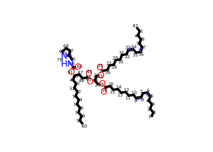 CCCCC/C=C\C/C=C\CCCCCCCC(=O)OCC(COC(=O)CCCCCCC/C=C\C/C=C\CCCCC)OC(=O)CCC(CCCCCCCCCCCC)OC(=O)NCC1CCCN1C